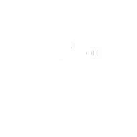 Cc1cc(C(CC(C)(C)C)C(C)(C)C)cc(I)c1O